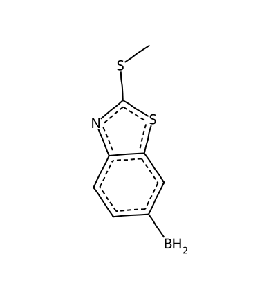 Bc1ccc2nc(SC)sc2c1